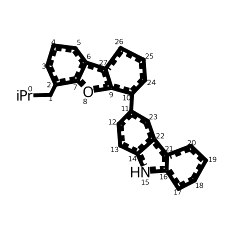 CC(C)Cc1cccc2c1oc1c(-c3ccc4[nH]c5ccccc5c4c3)cccc12